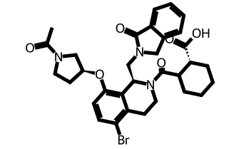 CC(=O)N1CC[C@H](Oc2ccc(Br)c3c2[C@@H](CN2Cc4ccccc4C2=O)N(C(=O)C2CCCC[C@H]2C(=O)O)CC3)C1